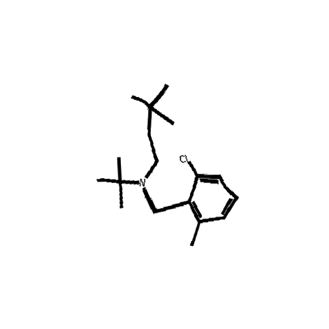 Cc1cccc(Cl)c1CN(CCC(C)(C)C)C(C)(C)C